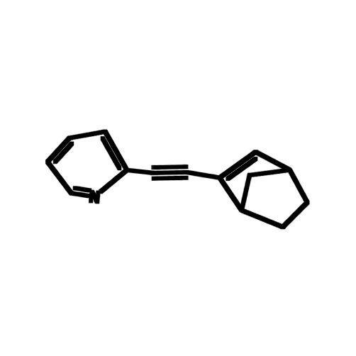 C(#Cc1ccccn1)C1=CC2CCC1C2